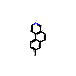 Cc1ccc2c(ccc3cnccc32)c1